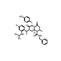 CCC(CC)Nc1cc(F)ccc1[C@H](C)N1C[C@H]2N(C(=O)CN(C)N2C(=O)NCc2ccccc2)[C@@H](Cc2ccc(O)cc2)C1=O